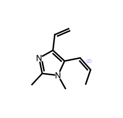 C=Cc1nc(C)n(C)c1/C=C\C